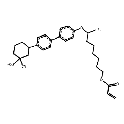 C=CC(=O)OCCCCCCC(CCC)Oc1ccc(-c2ccc(C3CCCC(C#N)(CCCCCCCC)C3)cc2)cc1